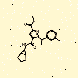 CNC(=O)c1cc(C(=O)NC2C3CCCC32)n(C(C)c2cccc(C)c2)n1